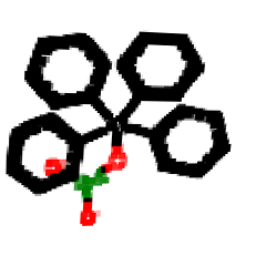 [O-][Br+2]([O-])O[As](c1ccccc1)(c1ccccc1)(c1ccccc1)c1ccccc1